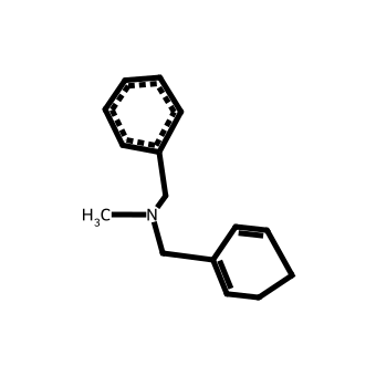 CN(CC1=CCCC=C1)Cc1ccccc1